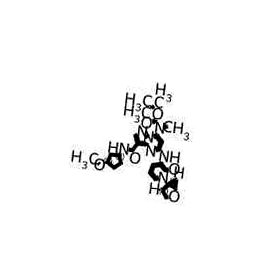 CO[C@@H]1CC[C@@H](NC(=O)c2cnn3c(N(C)C(=O)OC(C)(C)C)cc(Nc4cccn(C56C7OC[C@@H]5[C@H]76)c4=O)nc23)C1